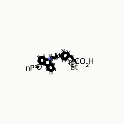 CCCOc1cccc2c1-c1ccccc1/C2=C\COc1ccc(CC(OCC)C(=O)O)cc1